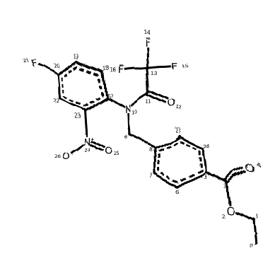 CCOC(=O)c1ccc(CN(C(=O)C(F)(F)F)c2ccc(F)cc2[N+](=O)[O-])cc1